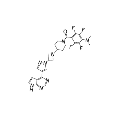 CN(C)c1c(F)c(F)c(C(=O)N2CCC(N3CC(n4cc(-c5ncnc6[nH]ccc56)cn4)C3)CC2)c(F)c1F